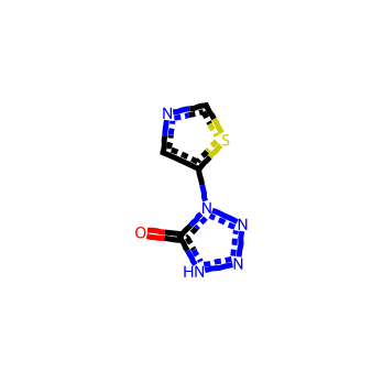 O=c1[nH]nnn1-c1cncs1